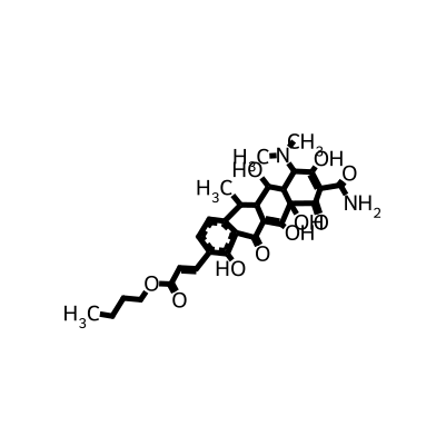 CCCCOC(=O)/C=C/c1ccc2c(c1O)C(=O)C1=C(O)C3(O)C(=O)C(C(N)=O)=C(O)C(N(C)C)C3C(O)C1C2C